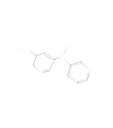 CC1C=C(N(N)c2cccnc2)C=NC1